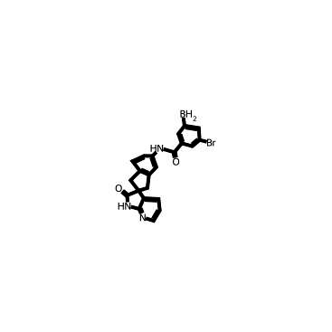 Bc1cc(Br)cc(C(=O)Nc2ccc3c(c2)CC2(C3)C(=O)Nc3ncccc32)c1